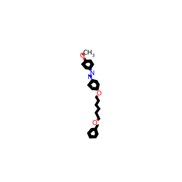 COc1ccc(N=Nc2ccc(OCCCCCCOCc3ccccc3)cc2)cc1